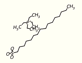 CCCCCCCCCCCCCCCCS(=O)(=O)[O-].CC[P+](CC)(CC)CC